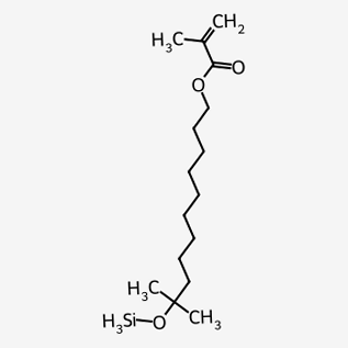 C=C(C)C(=O)OCCCCCCCCCC(C)(C)O[SiH3]